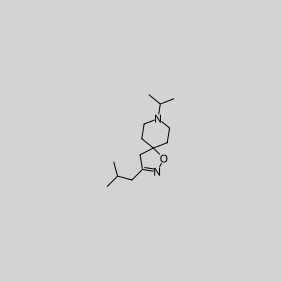 CC(C)CC1=NOC2(CCN(C(C)C)CC2)C1